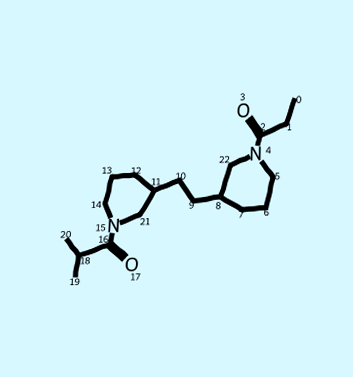 CCC(=O)N1CCCC(CCC2CCCN(C(=O)C(C)C)C2)C1